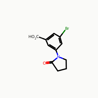 O=C(O)c1cc(Br)cc(N2CCCC2=O)c1